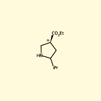 CCOC(=O)[C@@H]1CNC(C(C)C)C1